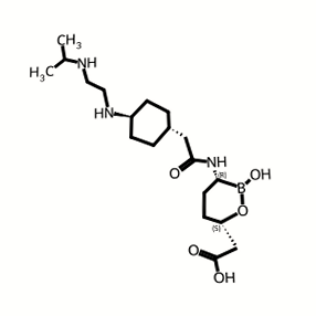 CC(C)NCCN[C@H]1CC[C@H](CC(=O)N[C@H]2CC[C@@H](CC(=O)O)OB2O)CC1